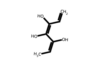 C=C/C(O)=C(O)\C(O)=C/C